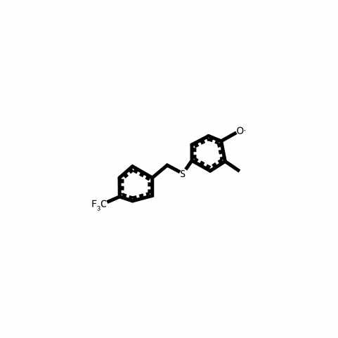 Cc1cc(SCc2ccc(C(F)(F)F)cc2)ccc1[O]